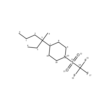 CCCC(C)(CC)C1CCN(S(=O)(=O)C(F)(F)F)CC1